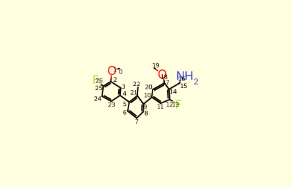 COc1cc(-c2cccc(-c3cc(F)c(CN)c(OC)c3)c2C)ccc1F